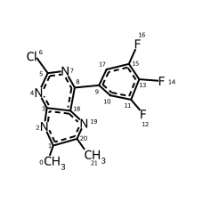 Cc1nc2nc(Cl)nc(-c3cc(F)c(F)c(F)c3)c2nc1C